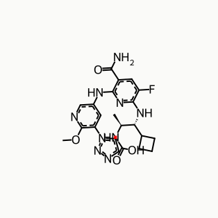 COc1ncc(Nc2nc(N[C@H](C3CCC3)[C@H](C)NC(=O)O)c(F)cc2C(N)=O)cc1-n1ccnn1